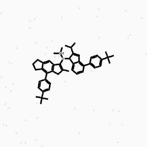 CC1=[C]([Zr]([CH]2C(C(C)C)=Cc3c(-c4ccc(C(C)(C)C)cc4)cccc32)[SiH](C)C)c2cc3c(c(-c4ccc(C(C)(C)C)cc4)c2C1)CCC3